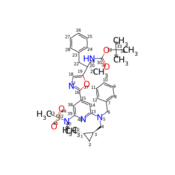 C[C@H]1C[C@@H]1CN(Cc1ccccc1)c1cc(-c2ncc([C@@](C)(Cc3ccccc3)NC(=O)OC(C)(C)C)o2)cc(N(C)S(C)(=O)=O)n1